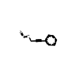 O=NOCC#Cc1ccccc1